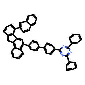 c1ccc(-c2nc(-c3ccccc3)nc(-c3ccc(-c4ccc(-c5cc6c(c7ccccc57)Cc5cccc(-c7ccc8ccccc8c7)c5-6)cc4)cc3)n2)cc1